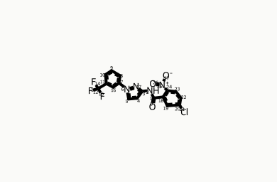 O=C(Nc1ccn(-c2cccc(C(F)(F)F)c2)n1)c1cc(Cl)ccc1[N+](=O)[O-]